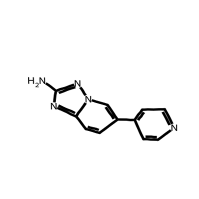 Nc1nc2ccc(-c3ccncc3)cn2n1